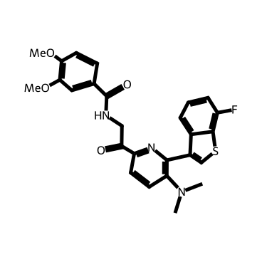 COc1ccc(C(=O)NCC(=O)c2ccc(N(C)C)c(-c3csc4c(F)cccc34)n2)cc1OC